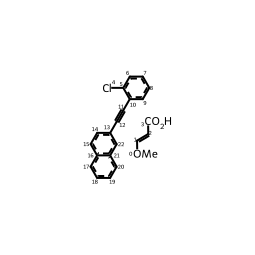 COC=CC(=O)O.Clc1ccccc1C#Cc1ccc2ccccc2c1